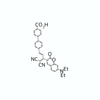 CCN(CC)c1ccc2cc(C(C=Cc3ccc(-c4ccc(C(=O)O)cc4)cc3)=C(C#N)C#N)c(=O)oc2c1